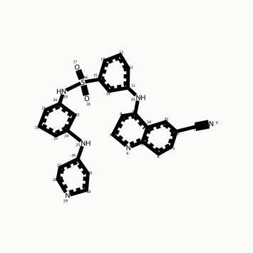 N#Cc1ccc2nccc(Nc3cccc(S(=O)(=O)Nc4cccc(Nc5ccncc5)c4)c3)c2c1